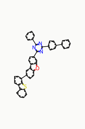 c1ccc(-c2ccc(-c3nc(-c4ccccc4)nc(-c4ccc5c(c4)oc4ccc(-c6cccc7c6sc6ccccc67)cc45)n3)cc2)cc1